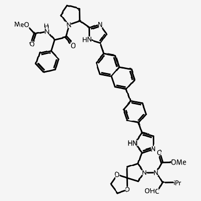 COC(=O)NC(C(=O)N1CCCC1c1ncc(-c2ccc3cc(-c4ccc(-c5cnc(C6CC7(CN6N(C(=O)OC)C(C=O)C(C)C)OCCO7)[nH]5)cc4)ccc3c2)[nH]1)c1ccccc1